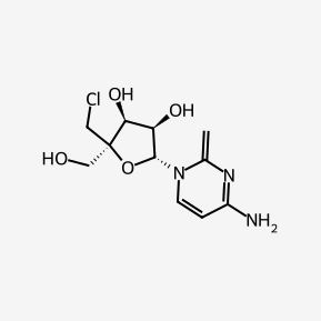 C=C1N=C(N)C=CN1[C@@H]1O[C@@](CO)(CCl)[C@@H](O)[C@H]1O